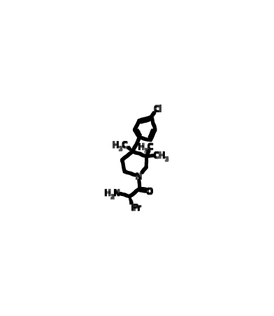 CC(C)[C@@H](N)C(=O)N1CC[C@](C)(c2ccc(Cl)cc2)C(C)(C)C1